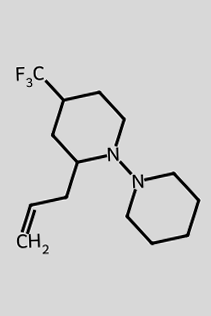 C=CCC1CC(C(F)(F)F)CCN1N1CCCCC1